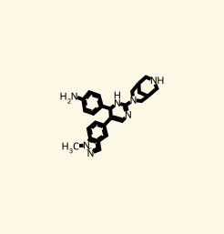 Cn1ncc2cc(C3=CN=C(N4CC5CNCC(C5)C4)NC3c3ccc(N)cc3)ccc21